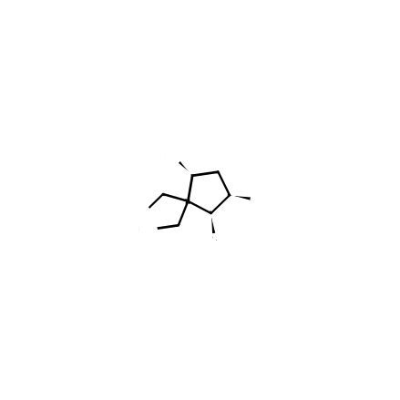 CCC1(CC)[C@H](N)[C@H](C)C[C@@H]1C